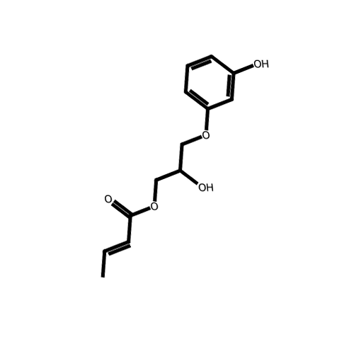 CC=CC(=O)OCC(O)COc1cccc(O)c1